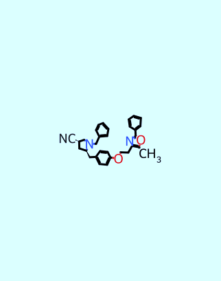 Cc1oc(-c2ccccc2)nc1CCOc1ccc(C[C@H]2C[C@H](C#N)CN2Cc2ccccc2)cc1